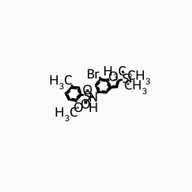 COc1ccc(C)cc1S(=O)(=O)Nc1cc(Br)c2oc([Si](C)(C)C)cc2c1